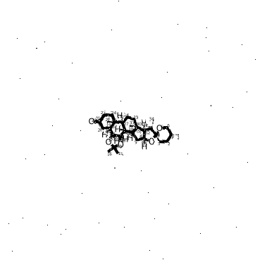 C[C@@H]1CC[C@@]2(OC1)O[C@H]1C[C@H]3[C@@H]4[C@H]5OC(C)(C)O[C@@H]5[C@H]5CC(=O)CC[C@]5(C)[C@H]4CC[C@]3(C)[C@H]1[C@@H]2C